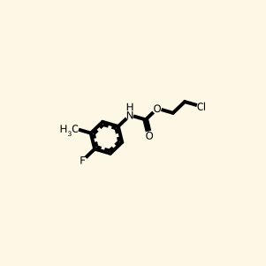 Cc1cc(NC(=O)OCCCl)ccc1F